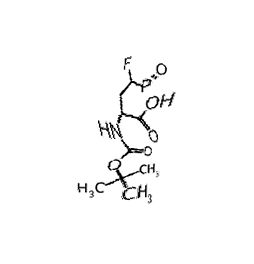 CC(C)(C)OC(=O)NC(CC(F)P=O)C(=O)O